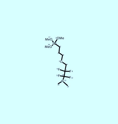 CO[Si](CCCOCC(F)(F)C(F)(F)N(C)C)(OC)OC